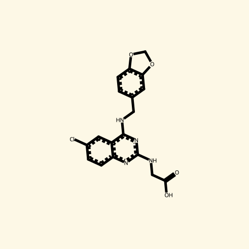 O=C(O)CNc1nc(NCc2ccc3c(c2)OCO3)c2cc(Cl)ccc2n1